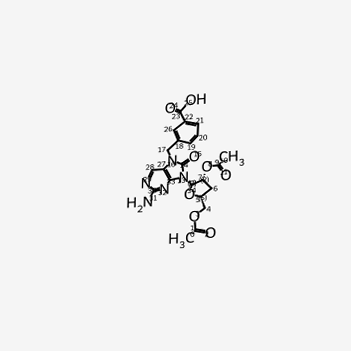 CC(=O)OC[C@@H]1C[C@@H](OC(C)=O)[C@H](n2c(=O)n(Cc3cccc(C(=O)O)c3)c3cnc(N)nc32)O1